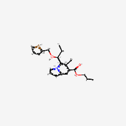 CCCOC(=O)c1cc2cccn2c(C(CC)OCc2cccs2)c1C